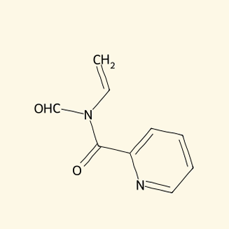 C=CN(C=O)C(=O)c1ccccn1